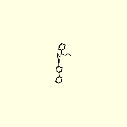 CCC/C(=N\C#Cc1ccc(-c2ccccc2)cc1)c1ccccc1